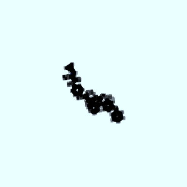 C=C(NC1=CCC(NC(=O)/C(C#N)=C/C2CC2)CC1)c1sc2nccc3c2c1NC(=O)N3c1ccc(Oc2ccccc2)cc1C